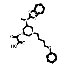 CN(c1nc2ccccc2s1)C1CCCN(CCCCOc2ccccc2)C1.O=C(O)C(=O)O